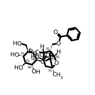 C[C@@H]1[C@@]2(COC(=O)c3ccccc3)[C@H]3O[C@]1(O)C[C@](C)(O3)[C@]2(C)O[C@@H]1O[C@H](CO)[C@@H](O)[C@H](O)[C@H]1O